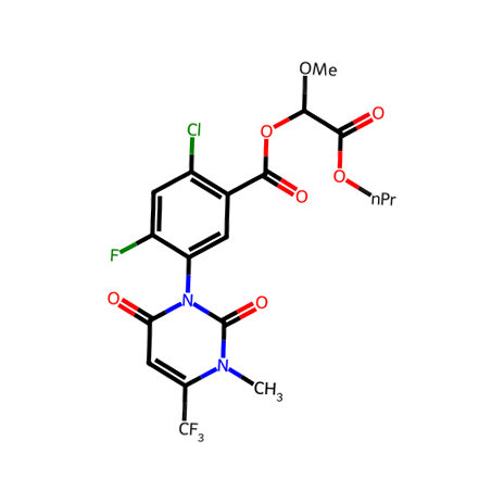 CCCOC(=O)C(OC)OC(=O)c1cc(-n2c(=O)cc(C(F)(F)F)n(C)c2=O)c(F)cc1Cl